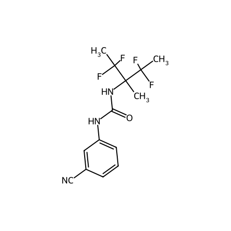 CC(F)(F)C(C)(NC(=O)Nc1cccc(C#N)c1)C(C)(F)F